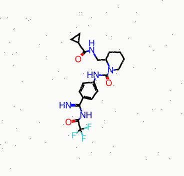 N=C(NC(=O)C(F)(F)F)c1ccc(NC(=O)N2CCCCC2CNC(=O)C2CC2)cc1